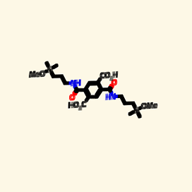 CO[Si](C)(C)CCCNC(=O)c1cc(C(=O)O)c(C(=O)NCCC[Si](C)(C)OC)cc1C(=O)O